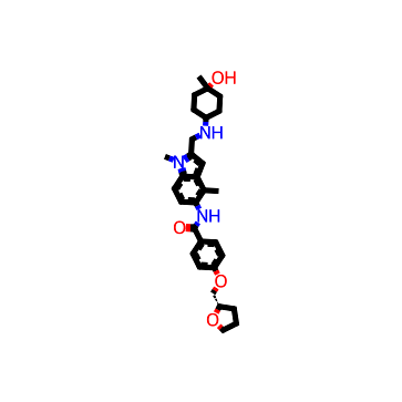 Cc1c(NC(=O)c2ccc(OC[C@@H]3CCCO3)cc2)ccc2c1cc(CNC1CCC(C)(O)CC1)n2C